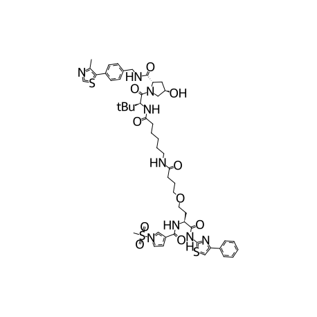 Cc1ncsc1-c1ccc(CNC(=O)[C@@H]2C[C@@H](O)CN2C(=O)[C@@H](NC(=O)CCCCCNC(=O)CCCOCC[C@H](NC(=O)c2ccn(S(C)(=O)=O)c2)C(=O)Nc2nc(-c3ccccc3)cs2)C(C)(C)C)cc1